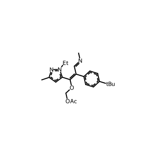 CCn1nc(C)cc1/C(OCOC(C)=O)=C(\C=N\C)c1ccc(C(C)(C)C)cc1